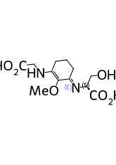 COC1=C(NCC(=O)O)CCC/C1=N\[C@@H](CO)C(=O)O